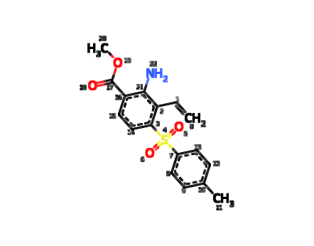 C=Cc1c(S(=O)(=O)c2ccc(C)cc2)ccc(C(=O)OC)c1N